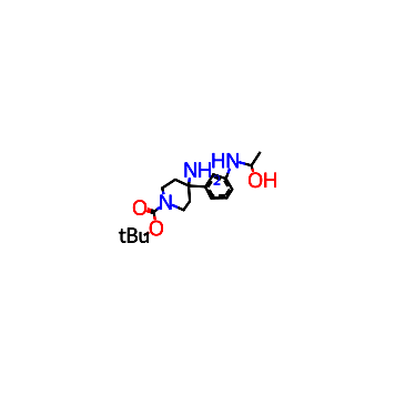 CC(O)Nc1cccc(C2(N)CCN(C(=O)OC(C)(C)C)CC2)c1